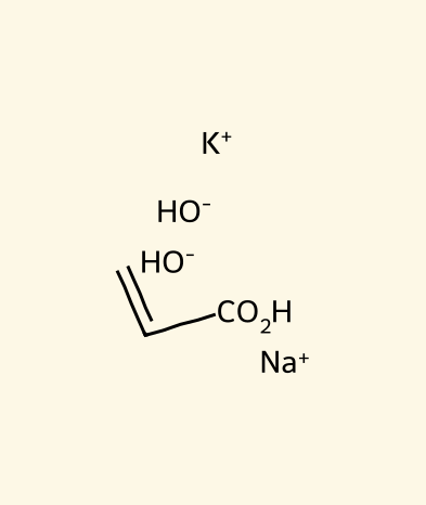 C=CC(=O)O.[K+].[Na+].[OH-].[OH-]